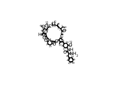 CCC1/C=C(\C)C(F)C(C)CC(OC)C2OC(O)(C(=O)C(=O)N3CCCCC3C(=O)OC(C(C)=CC3CCC(NC(=O)[C@H](N)Cc4ccccc4)C(OC)C3)C(C)CCC1=O)C(C)CC2OC